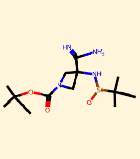 CC(C)(C)OC(=O)N1CC(N[S+]([O-])C(C)(C)C)(C(=N)N)C1